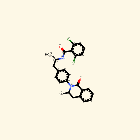 [C-]#[N+]C1Cc2ccccc2C(=O)N1c1ccc(C[C@H](NC(=O)c2c(Cl)cccc2Cl)C(=O)O)cc1